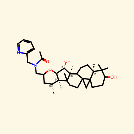 CC(=O)N(Cc1ccccn1)CC1C[C@@H](C)[C@H]2C(O1)[C@H](O)[C@@]1(C)C3CC[C@H]4C(C)(C)C(O)CCC45CC35CCC21C